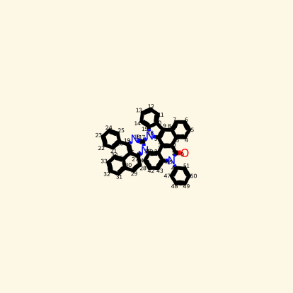 O=c1c2c3ccccc3c3c4ccccc4n(-c4nc(-c5ccccc5)c5c(ccc6ccccc65)n4)c3c2c2ccccc2n1-c1ccccc1